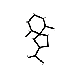 CC(C)C1CCC2(C1)C(C)CCCC2C